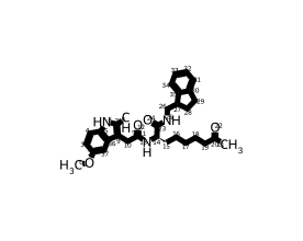 COc1ccc2[nH]c(C)c(CC(=O)N[C@@H](CCCCCC(C)=O)C(=O)NCC3CCc4ccccc43)c2c1